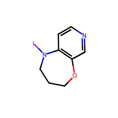 IN1CCCOc2cnccc21